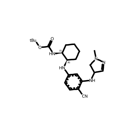 CN1CC(Nc2cc(N[C@@H]3CCCC[C@@H]3NC(=O)OC(C)(C)C)ccc2C#N)C=N1